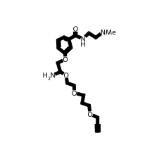 C#CCOCCCOCCOC(N)COc1cccc(C(=O)NCCNC)c1